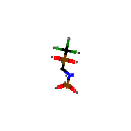 O=[SH](=O)NCS(=O)(=O)C(F)(F)F